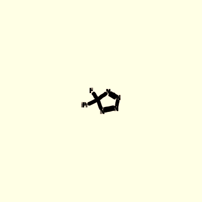 CC(C)C1(F)N=NN=N1